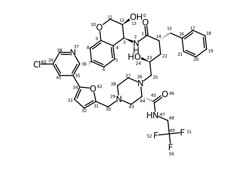 O=C(N[C@H]1c2ccccc2OC[C@H]1O)[C@H](Cc1ccccc1)C[C@H](O)CN1CCN(Cc2ccc(-c3cncc(Cl)c3)o2)C[C@H]1C(=O)NCC(F)(F)F